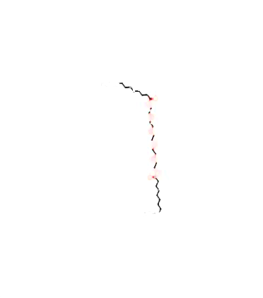 CCCCCCCCCCCCCCCCCC(=O)OCCOCCOCCOCCOCCOC(=O)CCCCCCCCCCCCCCCCC